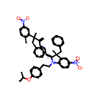 C=C(/C=C/C=C1/N(CCc2ccc(OC(C)C)cc2)c2ccc([N+](=O)[O-])cc2C1(C)Cc1ccccc1)C(C)(Cc1ccccc1)c1cc([N+](=O)[O-])ccc1C